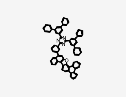 c1ccc(-c2cc(-c3ccccc3)cc(-c3nc(-c4cc(-c5ccccc5)cc(-c5ccccc5)c4)nc(-c4cccc(-c5cc6oc7c(ccc8c9ccccc9c9ccccc9c87)c6c6ccccc56)c4)n3)c2)cc1